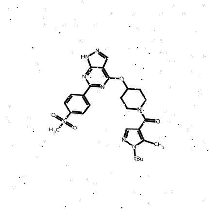 Cc1c(C(=O)N2CCC(Oc3nc(-c4ccc(S(C)(=O)=O)cc4)nc4[nH]ncc34)CC2)cnn1C(C)(C)C